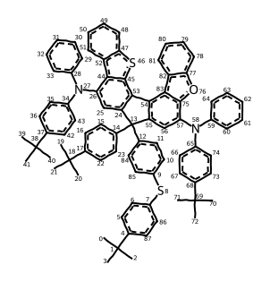 CC(C)(C)c1ccc(Sc2ccc(C3(c4ccc(C(C)(C)C)cc4)c4cc(N(c5ccccc5)c5ccc(C(C)(C)C)cc5)c5c(sc6ccccc65)c4-c4c3cc(N(c3ccccc3)c3ccc(C(C)(C)C)cc3)c3oc5ccccc5c43)cc2)cc1